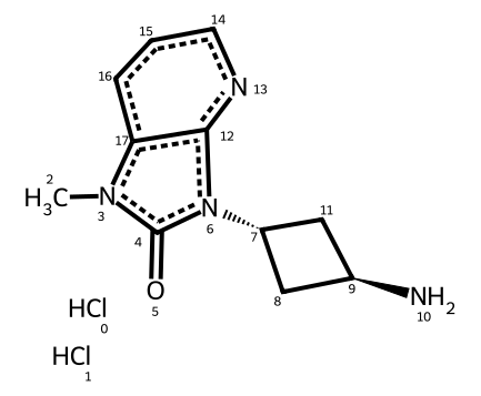 Cl.Cl.Cn1c(=O)n([C@H]2C[C@H](N)C2)c2ncccc21